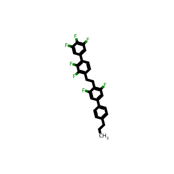 CCCc1ccc(-c2cc(F)c(CCc3ccc(-c4cc(F)c(F)c(F)c4)c(F)c3F)c(F)c2)cc1